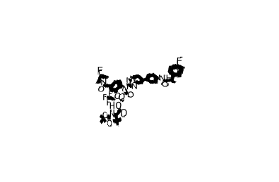 CC(C(=O)Nc1ccc(-c2ccn3nc(N(C(=O)OCOC(=O)C(NC(=O)OC(C)(C)C)C(C)(C)C)c4ccc(C(=O)N5CC(F)C5)cc4OCC(F)(F)F)nc3c2)cc1)c1ccc(F)cc1